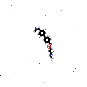 C/C=C\c1ccc(-c2ccc(COCC/C=C/C)cc2)cc1